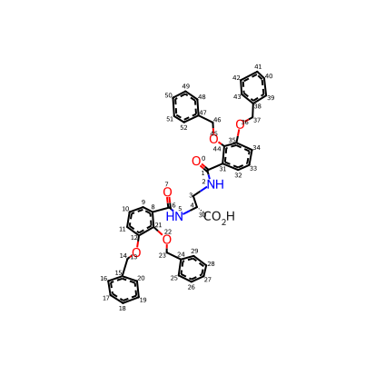 O=C(NC[C@@H](NC(=O)c1cccc(OCc2ccccc2)c1OCc1ccccc1)C(=O)O)c1cccc(OCc2ccccc2)c1OCc1ccccc1